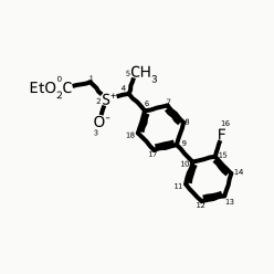 CCOC(=O)C[S+]([O-])C(C)c1ccc(-c2ccccc2F)cc1